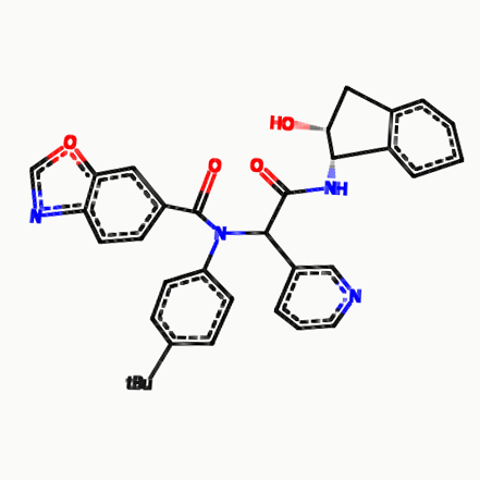 CC(C)(C)c1ccc(N(C(=O)c2ccc3ncoc3c2)C(C(=O)N[C@H]2c3ccccc3C[C@H]2O)c2cccnc2)cc1